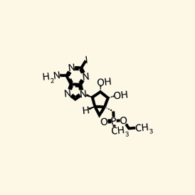 CCOP(C)(=O)C[C@]12C[C@@H]1[C@@H](n1cnc3c(N)nc(I)nc31)[C@H](O)[C@@H]2O